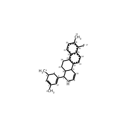 CC1=CC(C)CC(C2NC=CC3c4ccc5c(F)c(C)ccc5c4CCC23)=C1